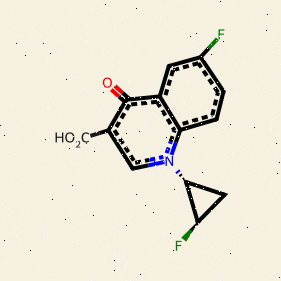 O=C(O)c1cn([C@@H]2C[C@H]2F)c2ccc(F)cc2c1=O